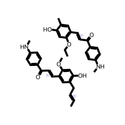 C/C=C/Cc1cc(/C=C/C(=O)c2ccc(NC)cc2)c(OC)cc1O.CCOc1cc(O)c(C)cc1/C=C/C(=O)c1ccc(NC)cc1